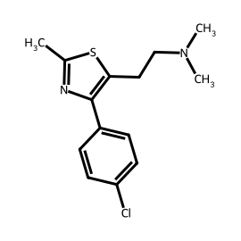 Cc1nc(-c2ccc(Cl)cc2)c(CCN(C)C)s1